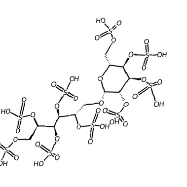 O=S(=O)(O)OC[C@@H](OS(=O)(=O)O)[C@H](OS(=O)(=O)O)[C@@H](OS(=O)(=O)O)[C@H](CO[C@@H]1O[C@H](COS(=O)(=O)O)[C@@H](OS(=O)(=O)O)[C@@H](OS(=O)(=O)O)[C@@H]1OS(=O)(=O)O)OS(=O)(=O)O